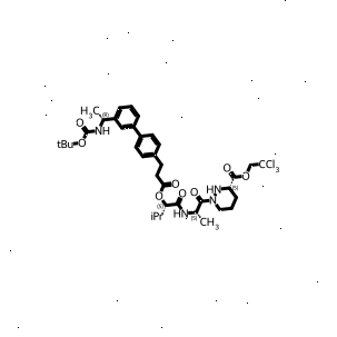 CC(C)[C@H](OC(=O)CCc1ccc(-c2cccc([C@@H](C)NC(=O)OC(C)(C)C)c2)cc1)C(=O)N[C@@H](C)C(=O)N1CCC[C@@H](C(=O)OCC(Cl)(Cl)Cl)N1